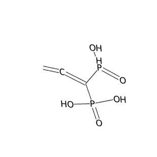 C=C=C([PH](=O)O)P(=O)(O)O